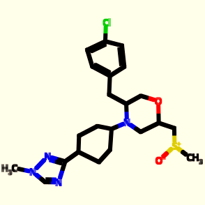 Cn1cnc(C2CCC(N3CC(C[S+](C)[O-])OCC3Cc3ccc(Cl)cc3)CC2)n1